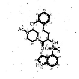 CC(=O)N1CCN(C(=O)C(CCc2ccccc2Cl)NS(=O)(=O)c2cccc3[nH]ccc23)CC1